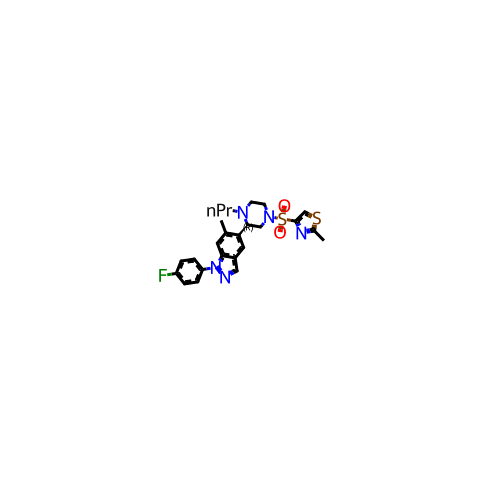 CCCN1CCN(S(=O)(=O)c2csc(C)n2)C[C@H]1c1cc2cnn(-c3ccc(F)cc3)c2cc1C